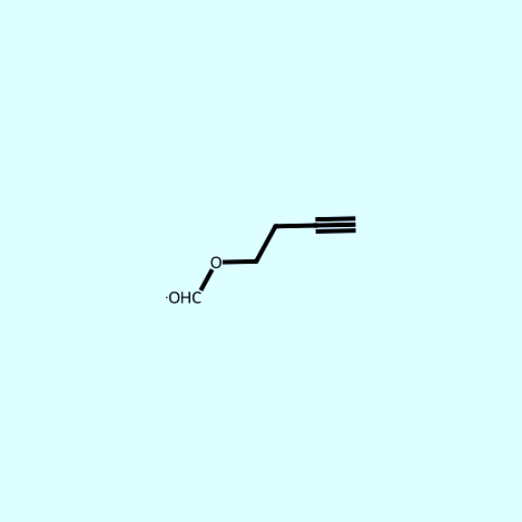 C#CCCO[C]=O